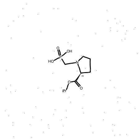 CC(C)OC(=O)[C@@H]1CCCN1CP(=O)(O)O